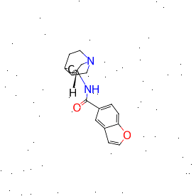 O=C(N[C@@H]1CC2CCN(CC2)C1)c1ccc2occc2c1